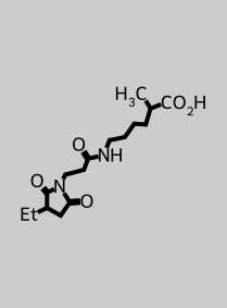 CCC1CC(=O)N(CCC(=O)NCCCCC(C)C(=O)O)C1=O